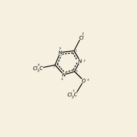 Clc1nc(OC(Cl)(Cl)Cl)nc(C(Cl)(Cl)Cl)n1